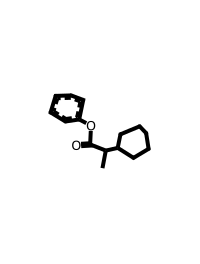 CC(C(=O)Oc1ccccc1)C1CCCCC1